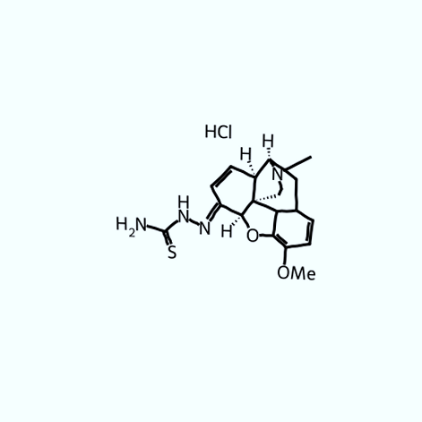 COC1=C2O[C@H]3C(=NNC(N)=S)C=C[C@H]4[C@H]5CC(C=C1)C2[C@@]34CCN5C.Cl